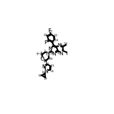 Cc1nc2nc(N3C[C@@H](C)O[C@@H](c4ccn(C5CC5)n4)C3)nc(-c3ccc(F)cc3F)c2nc1C